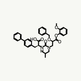 COc1ccccc1OC(=O)C(CN(CC(C)C)C(=O)N[C@@H](Cc1ccc(-c2ccccc2)cc1)C(=O)O)OCc1ccccc1